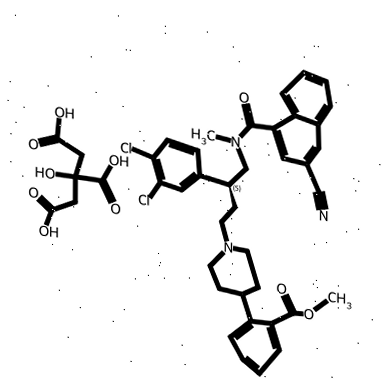 COC(=O)c1ccccc1C1CCN(CC[C@H](CN(C)C(=O)c2cc(C#N)cc3ccccc23)c2ccc(Cl)c(Cl)c2)CC1.O=C(O)CC(O)(CC(=O)O)C(=O)O